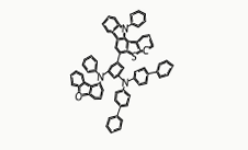 c1ccc(-c2ccc(N(c3ccc(-c4ccccc4)cc3)c3cc(-c4cc5c6ccccc6n(-c6ccccc6)c5c5c4sc4ccccc45)cc(N(c4ccccc4)c4cccc5oc6ccccc6c45)c3)cc2)cc1